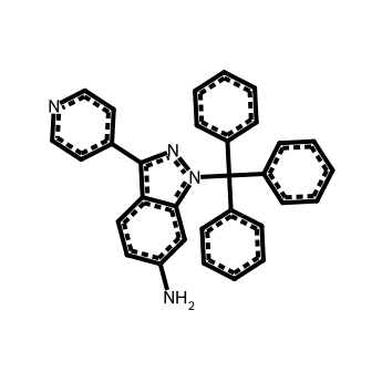 Nc1ccc2c(-c3ccncc3)nn(C(c3ccccc3)(c3ccccc3)c3ccccc3)c2c1